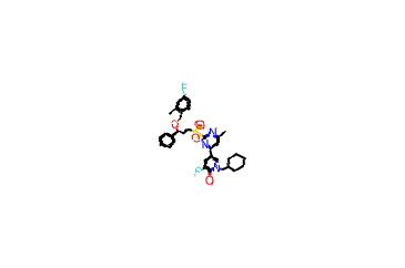 Cc1cc(-c2cc(F)c(=O)n(CC3CCCCC3)c2)nc(S(=O)(=O)CCC(OCc2ccc(F)cc2C)c2ccccc2)n1